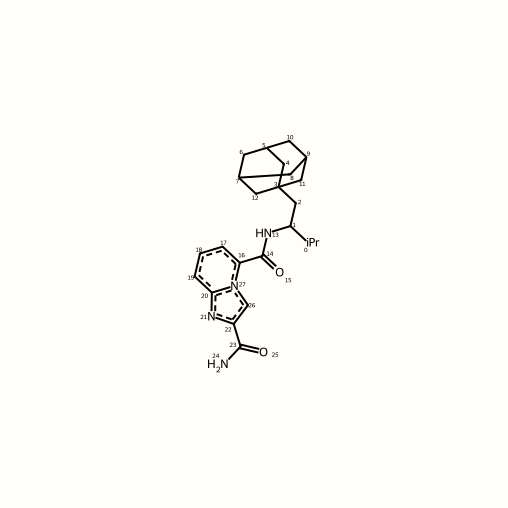 CC(C)C(CC12CC3CC(CC(C3)C1)C2)NC(=O)c1cccc2nc(C(N)=O)cn12